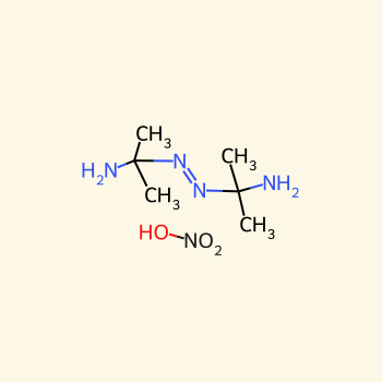 CC(C)(N)N=NC(C)(C)N.O=[N+]([O-])O